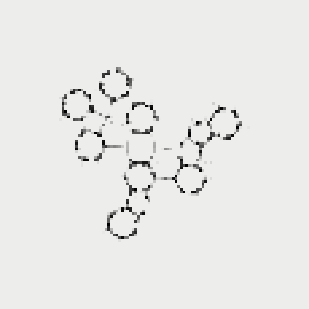 c1ccc(C2(c3ccccc3)c3ccccc3N3c4cc5c(oc6ccccc65)c5c4B(c4cccc2c43)n2c3sc4ccccc4c3c3cccc-5c32)cc1